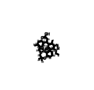 CCn1nnc2c(C)c(C(CC(=O)O)c3ccc(C)c(CN4CC(C)(C)Oc5ccccc5S4(O)O)c3)ccc21